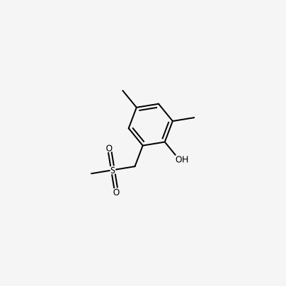 Cc1cc(C)c(O)c(CS(C)(=O)=O)c1